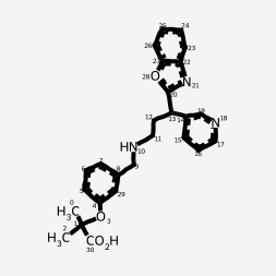 CC(C)(Oc1cccc(CNCCC(c2cccnc2)c2nc3ccccc3o2)c1)C(=O)O